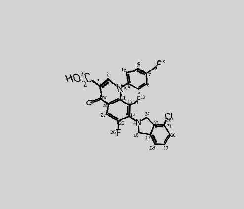 O=C(O)c1cn(-c2ccc(F)cc2)c2c(F)c(N3Cc4cccc(Cl)c4C3)c(F)cc2c1=O